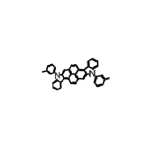 Cc1cccc(-n2c3ccccc3c3c4ccc5cc6c(c7ccc(cc32)c4c57)c2ccccc2n6-c2cccc(C)c2)c1